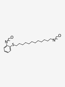 O=C=NCCCCCCCCCCCCSc1ccccc1N=C=O